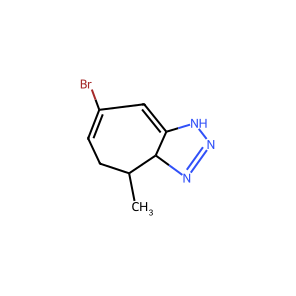 CC1CC=C(Br)C=C2NN=NC21